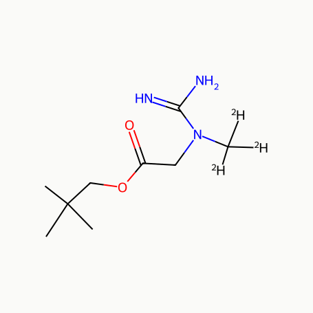 [2H]C([2H])([2H])N(CC(=O)OCC(C)(C)C)C(=N)N